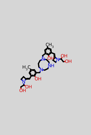 Cc1cc(C=C2CCN2C(O)CO)c(O)c(CN2CCCN(Cc3cc(C)cc(C=C4CCN4C(O)CO)c3O)CCNCC2)c1